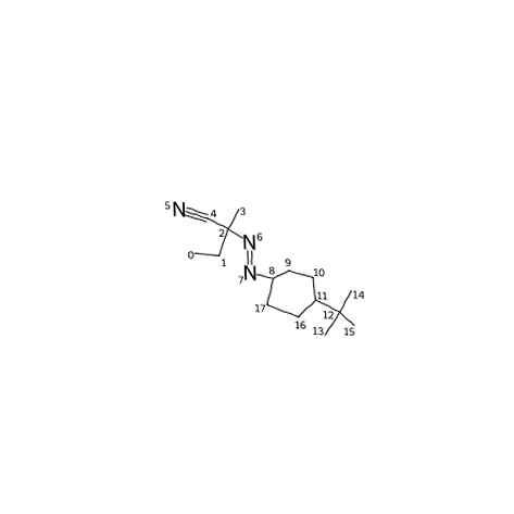 CCC(C)(C#N)N=NC1CCC(C(C)(C)C)CC1